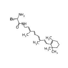 CCC(C)C(N)C(=O)NC/C=C(C)/C=C/C=C(C)/C=C/C1=C(C)CCCC1(C)C